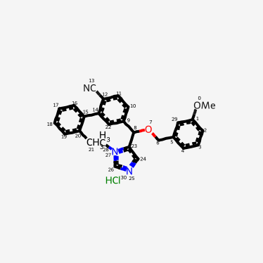 COc1cccc(COC(c2ccc(C#N)c(-c3ccccc3C)c2)c2cncn2C)c1.Cl